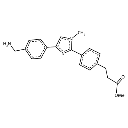 COC(=O)CCc1ccc(-c2nc(-c3ccc(CN)cc3)cn2C)cc1